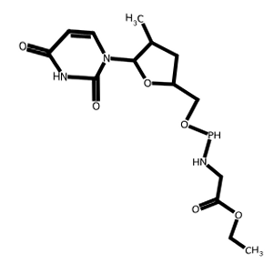 CCOC(=O)CNPOCC1CC(C)C(n2ccc(=O)[nH]c2=O)O1